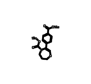 COC(=O)c1ccc(C2=COCCCN2C(=O)OC(C)(C)C)cc1